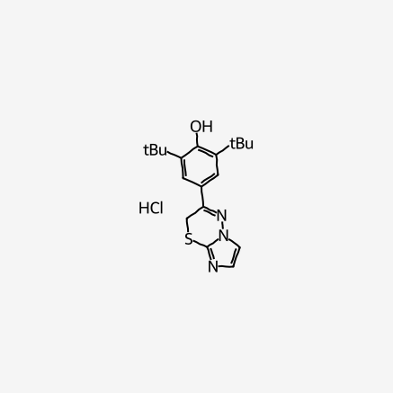 CC(C)(C)c1cc(C2=Nn3ccnc3SC2)cc(C(C)(C)C)c1O.Cl